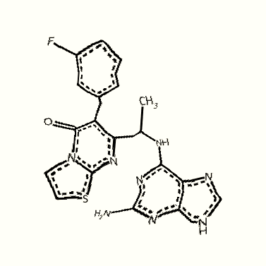 CC(Nc1nc(N)nc2[nH]cnc12)c1nc2sccn2c(=O)c1-c1cccc(F)c1